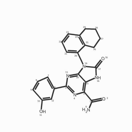 NC(=O)c1nc(-c2cccc(O)c2)nc2c1[nH]c(=O)n2-c1cccc2c1CCCC2